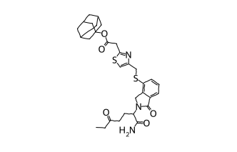 CCC(=O)CCC(C(N)=O)N1Cc2c(SCc3csc(CC(=O)OC45CC6CC(CC(C6)C4)C5)n3)cccc2C1=O